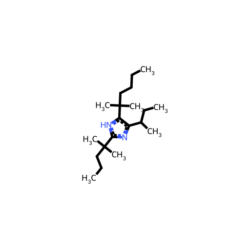 CCCCC(C)(C)c1[nH]c(C(C)(C)CCC)nc1C(C)CC